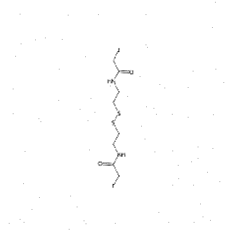 O=C(CI)NCCSSCCNC(=O)CI